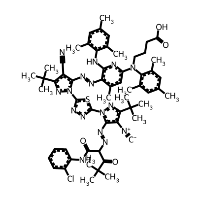 [C-]#[N+]c1c(C(C)(C)C)nn(-c2nnc(-n3nc(C(C)(C)C)c(C#N)c3N=Nc3c(C)cc(N(CCCC(=O)O)c4c(C)cc(C)cc4C)nc3Nc3c(C)cc(C)cc3C)s2)c1N=NC(C(=O)Nc1ccccc1Cl)C(=O)C(C)(C)C